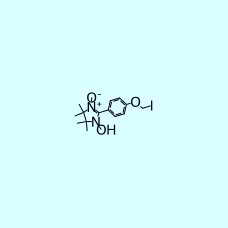 CC1(C)N(O)C(c2ccc(OCI)cc2)=[N+]([O-])C1(C)C